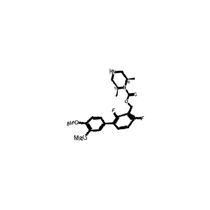 COc1ccc(-c2ccc(F)c(COC(=O)N3[C@H](C)CNC[C@@H]3C)c2F)cc1OC